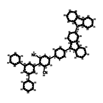 N#Cc1cc(-c2ccc(-n3c4ccccc4c4cc(-n5c6ccccc6c6ccccc65)ccc43)cc2)cc(C#N)c1-c1cc(-c2ccccc2)nc(-c2ccccc2)n1